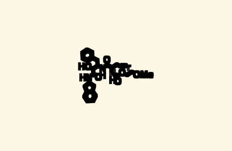 COCCOC(=O)NC(CC(C)C)C(=O)NC(Cc1ccccc1)C(O)C(=O)NC1Cc2ccccc2C1